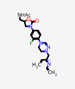 C=C/N=C(\C=C)CN1CCN(c2ccc(N3CC(CNC(C)=O)OC3=O)cc2F)C=N1